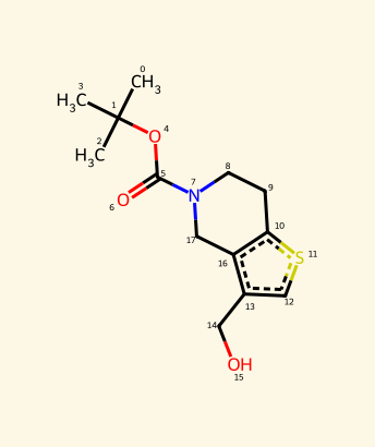 CC(C)(C)OC(=O)N1CCc2scc(CO)c2C1